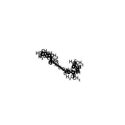 CC[C@@](C)(CC[C@]1(C)CC[C@]2(C)C3=CC=C4C(=CC(=O)C(O)=C4C)[C@]3(C)CC[C@@]2(C)C1)C(=O)NCCCOCCOCCOCNC(=O)N1CCC(c2cc(OC(C)C)c(Nc3ncc(Cl)c(Nc4ccccc4S(=O)(=O)C(C)C)n3)cc2C)CC1